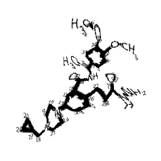 COc1ccc([C@@H](C)NC(=O)c2cc(N3CCN(CC4CC4)CC3)ccc2CCC(=O)NN)cc1OC